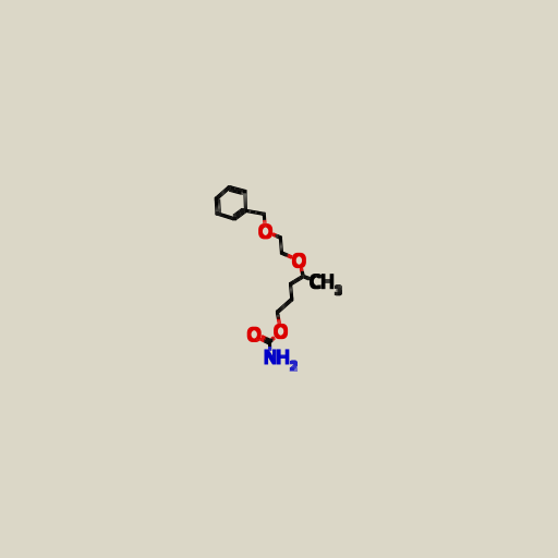 CC(CCCOC(N)=O)OCCOCc1ccccc1